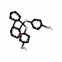 Nc1ccc(OC2(Oc3ccc(N)cc3)c3ccccc3-c3ccccc32)cc1